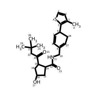 Cc1ccsc1C1C=CC(CNC(=O)C2CC(O)CC2C(=O)CC(C)(C)C)=CC1